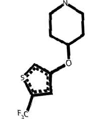 FC(F)(F)c1cc(OC2CCNCC2)cs1